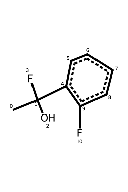 CC(O)(F)c1ccccc1F